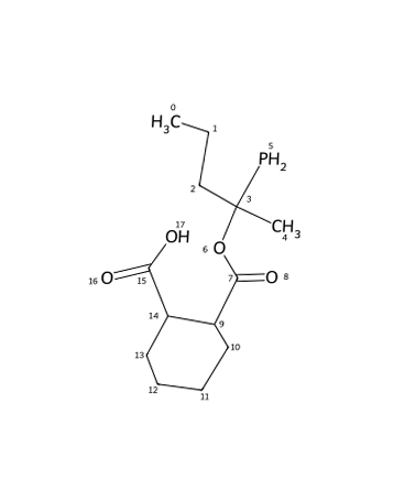 CCCC(C)(P)OC(=O)C1CCCCC1C(=O)O